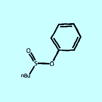 CCCCS(=O)Oc1ccccc1